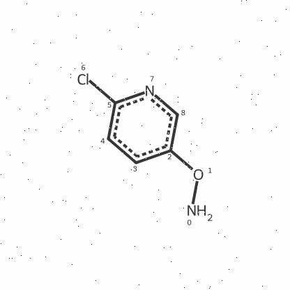 NOc1ccc(Cl)nc1